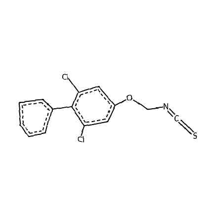 S=C=NCOc1cc(Cl)c(-c2ccccc2)c(Cl)c1